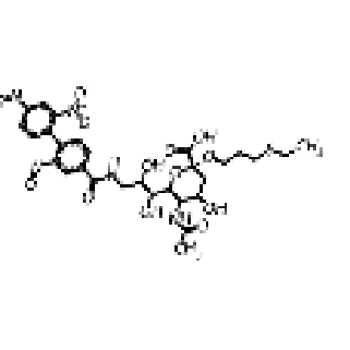 CCSCCCO[C@]1(C(=O)O)CC(O)[C@@H](NC(C)=O)C(C(O)[C@H](O)CNC(=O)c2ccc(-c3ccc(N=O)cc3[N+](=O)[O-])c(N=O)c2)O1